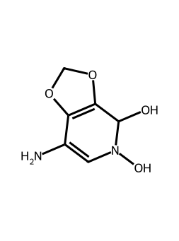 NC1=CN(O)C(O)C2=C1OCO2